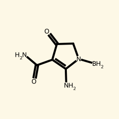 BN1CC(=O)C(C(N)=O)=C1N